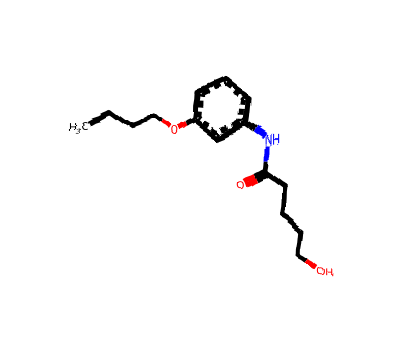 CCCCOc1cccc(NC(=O)CCCCO)c1